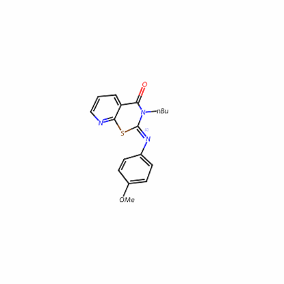 CCCCn1c(=O)c2cccnc2s/c1=N\c1ccc(OC)cc1